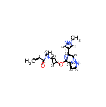 C=CC(=O)N(C)C1CC(Oc2nc(-c3cnn(C)c3)cn3nccc23)C1